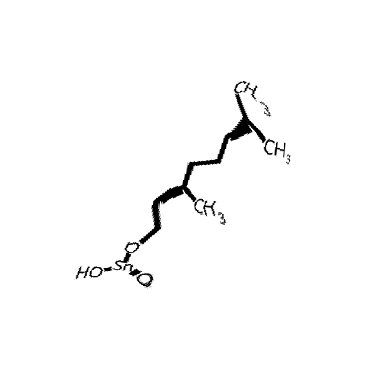 CC(C)=CCC/C(C)=C/C[O][Sn](=[O])[OH]